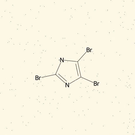 BrC1=NC(Br)=C(Br)[N]1